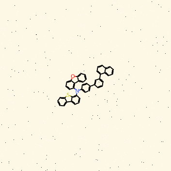 c1cc(-c2ccc(N(c3cccc4c3sc3ccccc34)c3cccc4oc5ccccc5c34)cc2)cc(-c2cccc3ccccc23)c1